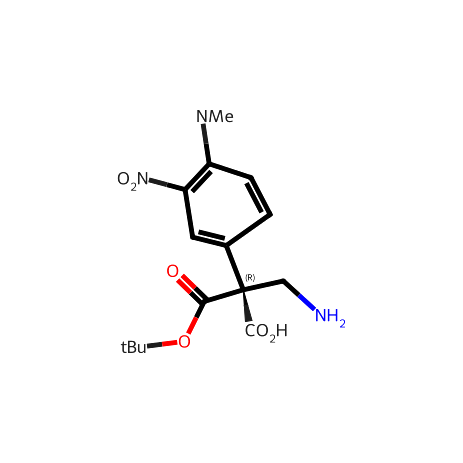 CNc1ccc([C@@](CN)(C(=O)O)C(=O)OC(C)(C)C)cc1[N+](=O)[O-]